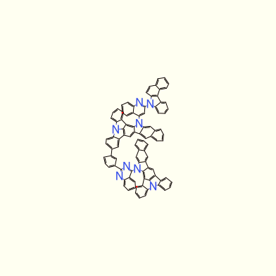 c1cc(-c2ccc3c(c2)c2cc4c5cc6ccccc6cc5n(-c5cc(-n6c7ccccc7c7c8ccccc8ccc76)nc6ccccc56)c4c4c5ccccc5n3c24)cc(-c2nc(-n3c4cc5ccccc5cc4c4cc5c6ccccc6n6c7ccccc7c(c43)c56)c3ccccc3n2)c1